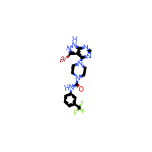 O=C(Nc1cccc(C(F)(F)F)c1)N1CCN(c2ncnc3[nH]nc(Br)c23)CC1